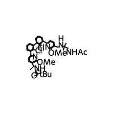 COc1nc(-c2cccc(-c3cccc(-c4ccc([C@H](C)N[S@+]([O-])C(C)(C)C)c(OC)n4)c3Cl)c2Cl)ccc1CNC(C)(C)CNC(C)=O